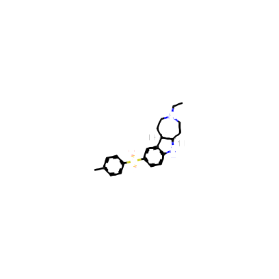 CCN1CC[C@@H]2c3cc(S(=O)(=O)c4ccc(C)cc4)ccc3N[C@@H]2CC1